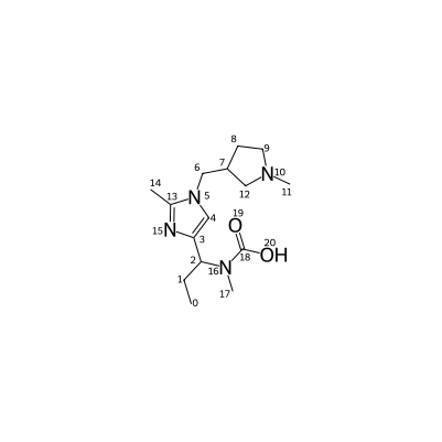 CCC(c1cn(CC2CCN(C)C2)c(C)n1)N(C)C(=O)O